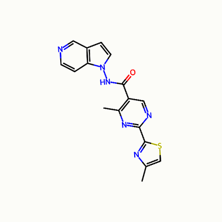 Cc1csc(-c2ncc(C(=O)Nn3ccc4cnccc43)c(C)n2)n1